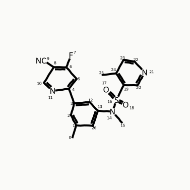 Cc1cc(-c2cc(F)c(C#N)cn2)cc(N(C)S(=O)(=O)c2cnccc2C)c1